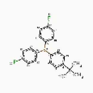 CC(C)(C)c1ccc([S+](c2ccc(F)cc2)c2ccc(F)cc2)cc1